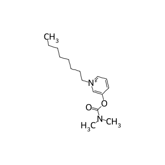 CCCCCCCC[n+]1cccc(OC(=O)N(C)C)c1